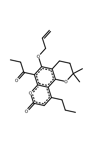 C=CCOc1c2c(c3c(CCC)cc(=O)oc3c1C(=O)CC)OC(C)(C)CC2